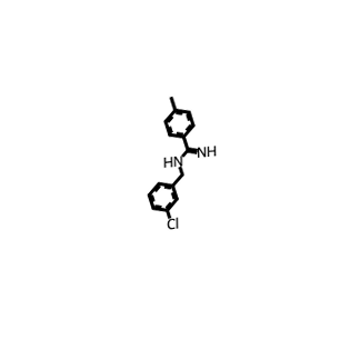 Cc1ccc(C(=N)NCc2cccc(Cl)c2)cc1